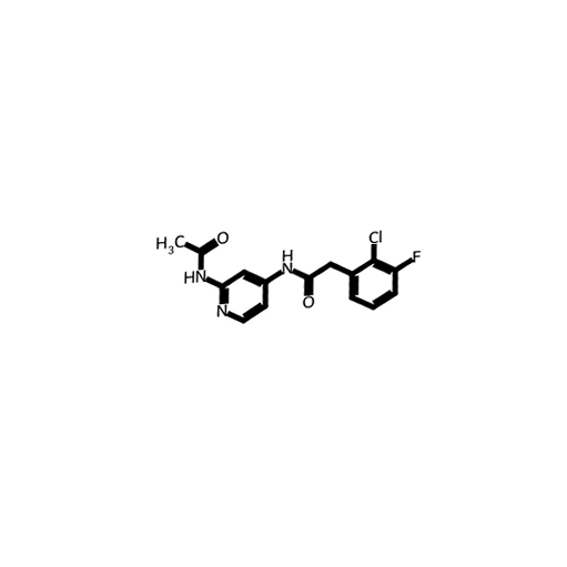 CC(=O)Nc1cc(NC(=O)Cc2cccc(F)c2Cl)ccn1